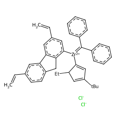 C=Cc1ccc2c(c1)-c1cc(C=C)c[c]([Zr+2]([C]3=CC(C(C)(C)C)=CC3CC)=[C](c3ccccc3)c3ccccc3)c1C2.[Cl-].[Cl-]